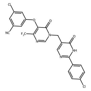 N#Cc1cc(Cl)cc(Oc2c(C(F)(F)F)ncn(Cc3cnc(-c4ccc(Cl)cc4)[nH]c3=O)c2=O)c1